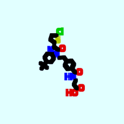 CC(C)(C)C1CCC2(CC1)N=C(C1CC=C(Cl)S1)C(=O)N2CCc1ccc(C(=O)NCCC(=O)O)cc1